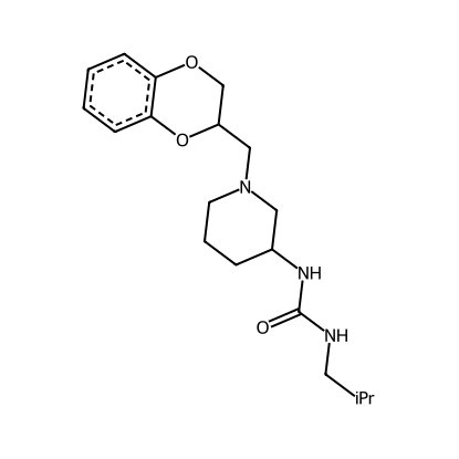 CC(C)CNC(=O)NC1CCCN(CC2COc3ccccc3O2)C1